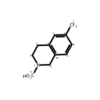 O=C(O)N1CCc2cc(C(F)(F)F)ccc2C1